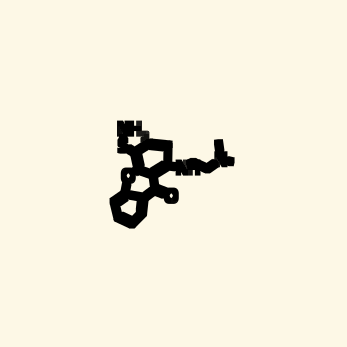 CN(C)CCNc1ccc(SN)c2oc3ccccc3c(=O)c12